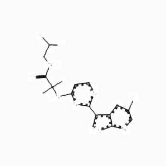 CC(C)(Nc1ccnc(-c2c[nH]c3ncc(F)cc23)n1)C(=O)NCC(F)F